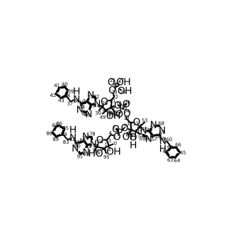 CC1(O)C(COP(=O)(O)OC2(C)C(COP(=O)(O)OC3(C)C(COP(=O)(O)O)OC(C)(n4cnc5c(NCc6ccccc6)ncnc54)C3(C)O)OC(C)(n3cnc4c(NCc5ccccc5)ncnc43)C2(C)O)OC(C)(n2cnc3c(NCc4ccccc4)ncnc32)C1(C)O